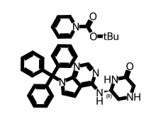 CC(C)(C)OC(=O)N1C=CC=CC1.O=C1CNC[C@H](Nc2ncnc3c2ccn3C(c2ccccc2)(c2ccccc2)c2ccccc2)N1